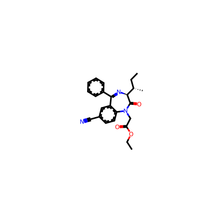 CCOC(=O)CN1C(=O)[C@H]([C@@H](C)CC)N=C(c2ccccc2)c2cc(C#N)ccc21